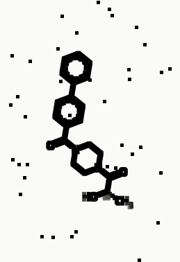 C[C@H](O)C(=O)N1CCN(C(=O)c2ccc(-c3ccccc3)cc2)CC1